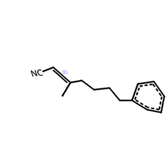 C/C(=C\C#N)CCCCc1ccccc1